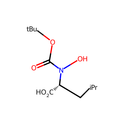 CC(C)C[C@H](C(=O)O)N(O)C(=O)OC(C)(C)C